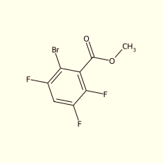 COC(=O)c1c(F)c(F)cc(F)c1Br